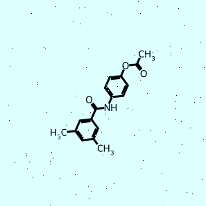 CC(=O)Oc1ccc(NC(=O)c2cc(C)cc(C)c2)cc1